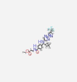 CCOC(=O)C=CNC(=O)c1ccc(C(Nc2cnc(-n3cc(C(F)(F)F)cn3)nc2)C2CC(C)(C)C2)cc1